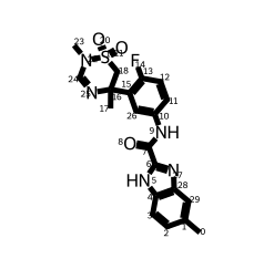 Cc1ccc2[nH]c(C(=O)Nc3ccc(F)c(C4(C)CS(=O)(=O)N(C)C=N4)c3)nc2c1